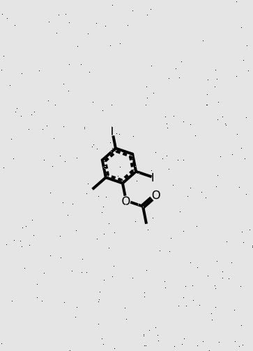 CC(=O)Oc1c(C)cc(I)cc1I